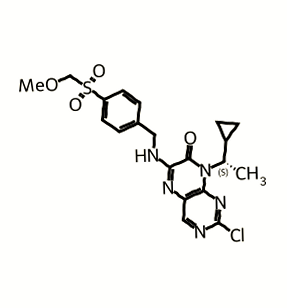 COCS(=O)(=O)c1ccc(CNc2nc3cnc(Cl)nc3n([C@@H](C)C3CC3)c2=O)cc1